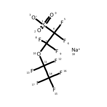 O=S(=O)([O-])C(F)(F)C(F)(F)OC(F)(F)C(F)(F)I.[Na+]